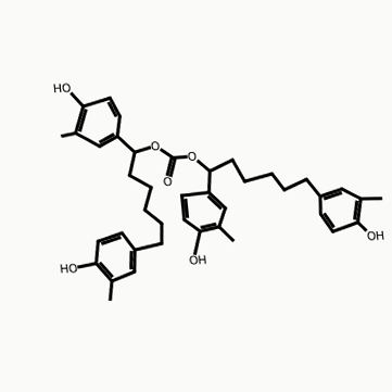 Cc1cc(CCCCCC(OC(=O)OC(CCCCCc2ccc(O)c(C)c2)c2ccc(O)c(C)c2)c2ccc(O)c(C)c2)ccc1O